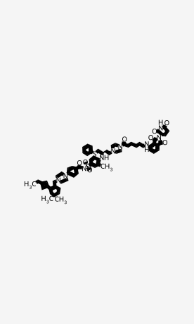 CCC12CC(C3=C(CN4CCN(c5ccc(C(=O)NS(=O)(=O)c6ccc(N[C@H](CCN7CCN(C(=O)CCCCCNc8cccc9c8C(=O)N(C8CCC(=O)NC8=O)C9=O)CC7)CSc7ccccc7)c(C)c6)cc5)CC4)CCC(C)(C)C3)(C1)C2